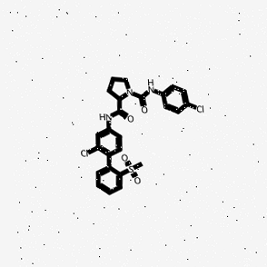 CS(=O)(=O)c1ccccc1-c1ccc(NC(=O)C2CCCN2C(=O)Nc2ccc(Cl)cc2)cc1Cl